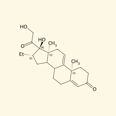 CC[C@H]1CC2C3CCC4=CC(=O)CC[C@]4(C)C3=CC[C@]2(C)[C@@]1(O)C(=O)CO